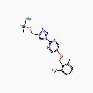 Cc1cccc(C(F)(F)F)c1COc1cnc(-n2cc(CO[Si](C)(C)C(C)(C)C)nn2)nc1